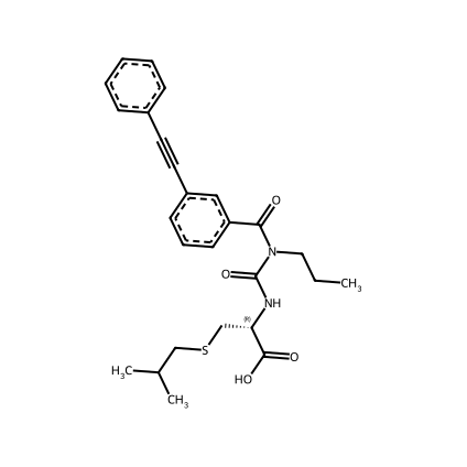 CCCN(C(=O)N[C@@H](CSCC(C)C)C(=O)O)C(=O)c1cccc(C#Cc2ccccc2)c1